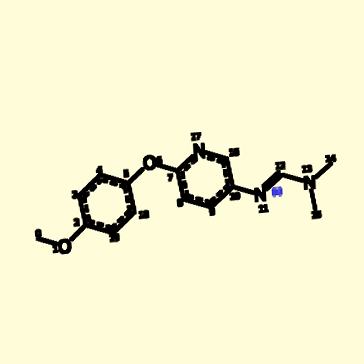 COc1ccc(Oc2ccc(/N=C/N(C)C)cn2)cc1